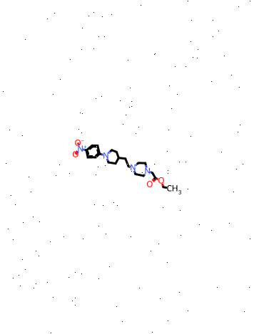 CCOC(=O)CN1CCN(CCC2CCN(c3ccc([N+](=O)[O-])cc3)CC2)CC1